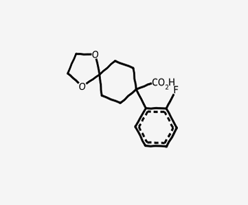 O=C(O)C1(c2ccccc2F)CCC2(CC1)OCCO2